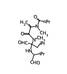 C=C(C(=O)N(C)C(C=O)(CC(C)C)NC(C=O)C(C)C)N(C)C(=O)CCC